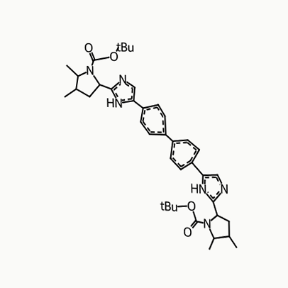 CC1CC(c2ncc(-c3ccc(-c4ccc(-c5cnc(C6CC(C)C(C)N6C(=O)OC(C)(C)C)[nH]5)cc4)cc3)[nH]2)N(C(=O)OC(C)(C)C)C1C